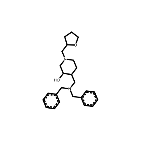 OC1CN(CC2CCCO2)CCC1CN(Cc1ccccc1)Cc1ccccc1